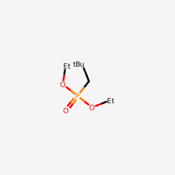 CCOP(=O)(CC(C)(C)C)OCC